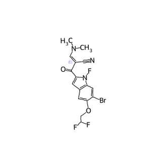 CN(C)/C=C(\C#N)C(=O)c1cc2cc(OCC(F)F)c(Br)cc2n1F